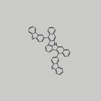 c1ccc2c(-c3ccc4sc5ccccc5c4c3)c3c4cccc5c6c(-c7ccc8sc9ccccc9c8c7)c7ccccc7cc6n(c3cc2c1)c45